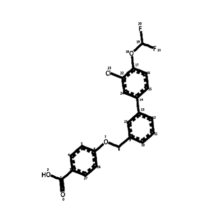 O=C(O)c1ccc(OCc2cccc(-c3ccc(OC(F)F)c(Cl)c3)c2)cc1